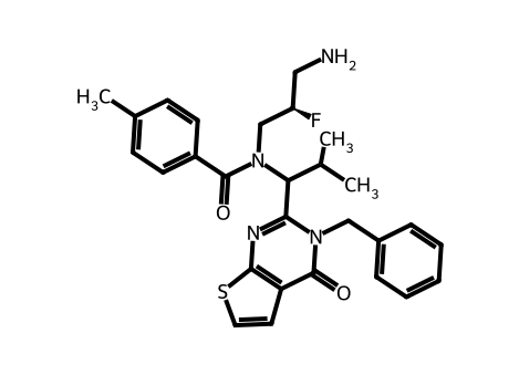 Cc1ccc(C(=O)N(C[C@H](F)CN)C(c2nc3sccc3c(=O)n2Cc2ccccc2)C(C)C)cc1